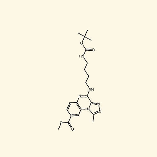 COC(=O)c1ccc2nc(NCCCCNC(=O)OC(C)(C)C)c3nnc(C)n3c2c1